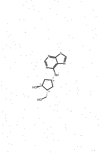 OC[C@H]1C[C@@H](Nc2ncnc3scnc23)C[C@@H]1O